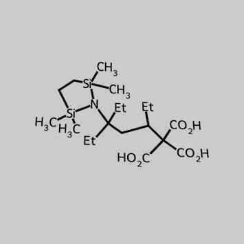 CCC(CC(CC)(CC)N1[Si](C)(C)CC[Si]1(C)C)C(C(=O)O)(C(=O)O)C(=O)O